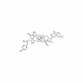 CC(=O)N(Cc1ccc(Cl)cc1)C[C@@H](O)[C@@]12CC[C@]3(C)[C@H](CC[C@H]4[C@H]3CC[C@H]3C(C)(C)[C@@H](OC(=O)CC(C)(C)C(=O)O)CC[C@]43C)C1=C(C(C)C)C(=O)C2